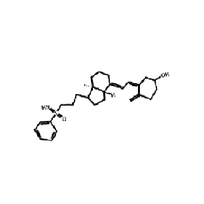 C=C1CCC(O)C/C1=C/C=C1\CCC[C@]2(C)C(CCCS(=N)(=O)c3ccccc3)CC[C@@H]12